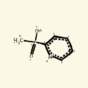 CP(=O)(O)c1ccccn1